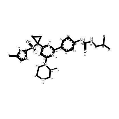 Cc1csc(S(=O)(=O)C2(c3cc(N4CCOC[C@@H]4C)nc(-c4ccc(NC(=O)NCC(C)C)cc4)n3)CC2)n1